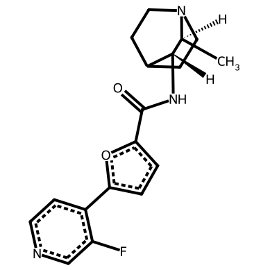 C[C@H]1[C@H](NC(=O)c2ccc(-c3ccncc3F)o2)C2CCN1CC2